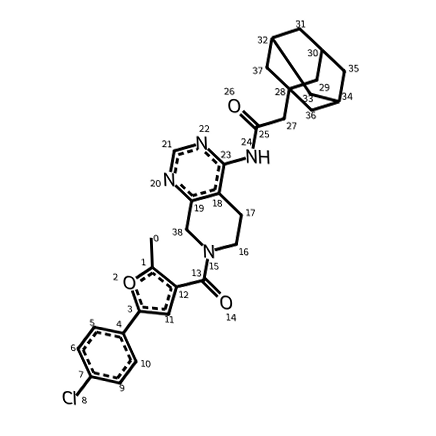 Cc1oc(-c2ccc(Cl)cc2)cc1C(=O)N1CCc2c(ncnc2NC(=O)CC23CC4CC(CC(C4)C2)C3)C1